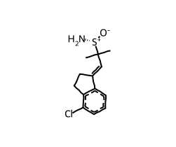 CC(C)(C=C1CCc2c(Cl)cccc21)[S@+](N)[O-]